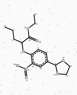 CCCC(Oc1ccc(C2OCCO2)cc1[N+](=O)[O-])C(=O)OCC